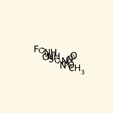 COc1cnc(-c2ccc(SNC(=O)Nc3ccc(F)cc3)cc2)nc1N1CCOCC1